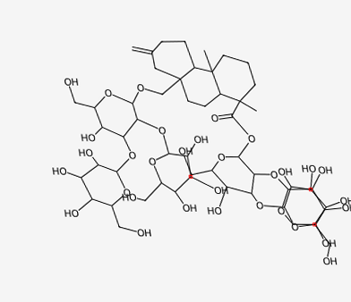 C=C1CCC2C(COC3OC(CO)C(O)C(OC4OC(CO)C(O)C(O)C4O)C3OC3OC(CO)C(O)C(O)C3O)(CCC3C(C)(C(=O)OC4OC(CO)C(O)C(OC5OC(CO)C(O)C(O)C5O)C4OC4OCC(O)C(O)C4O)CCCC23C)C1